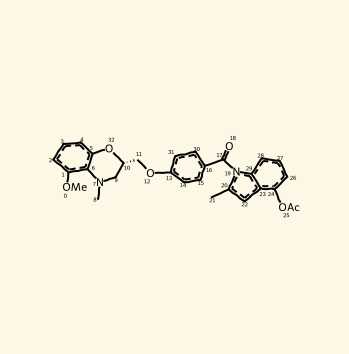 COc1cccc2c1N(C)C[C@@H](COc1ccc(C(=O)n3c(C)cc4c(OC(C)=O)cccc43)cc1)O2